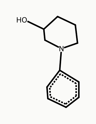 OC1CCCN(c2ccccc2)C1